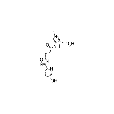 Cn1cc(NC(=O)CCc2nc(-c3ccc(O)cn3)no2)c(C(=O)O)c1